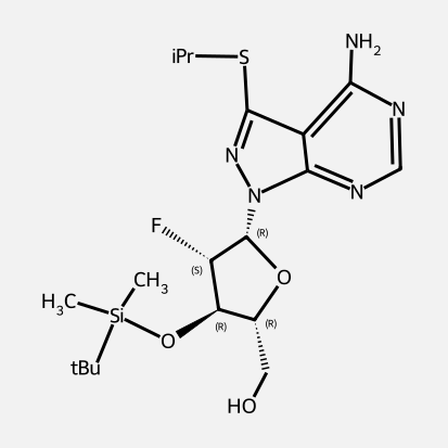 CC(C)Sc1nn([C@@H]2O[C@H](CO)[C@@H](O[Si](C)(C)C(C)(C)C)[C@@H]2F)c2ncnc(N)c12